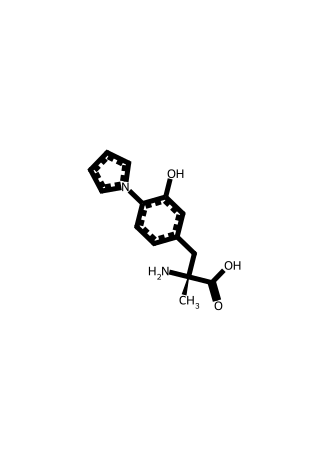 C[C@@](N)(Cc1ccc(-n2cccc2)c(O)c1)C(=O)O